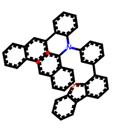 c1cc(-c2cccc3c2sc2ccccc23)cc(N(c2ccccc2-c2ccc3ccccc3c2)c2cccc3ccccc23)c1